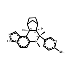 CN1c2ccc3[nH]ncc3c2[C@H]2C3CCC(C3)[C@H]2[C@]1(C)c1ccc(N)nc1